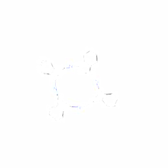 C1=CC2=C3CC(/N=C4C=C(/N=C5\C/C(=N\CC6=C/C(=N\3)c3ccccc36)c3ccccc35)c3ccccc3\4)C2C=C1